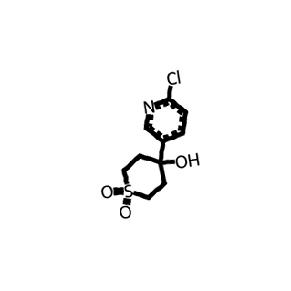 O=S1(=O)CCC(O)(c2ccc(Cl)nc2)CC1